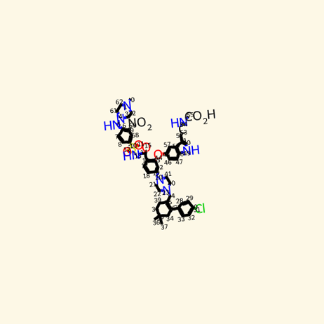 CN1CCN(Nc2ccc(S(=O)(=O)NC(=O)c3ccc(N4CCN(CC5=C(c6ccc(Cl)cc6)CC(C)(C)CC5)CC4)cc3Oc3ccc4[nH]cc(CCNC(=O)O)c4c3)cc2[N+](=O)[O-])CC1